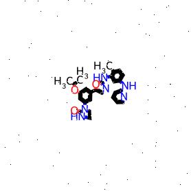 Cc1ccc(Nc2ccccn2)cc1Nc1ncc(-c2cc(OC(C)C)cc(N3CCNC3=O)c2)o1